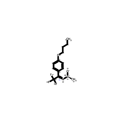 CCCCOc1ccc(/C(=N\[S@+](C)[O-])C(F)(F)F)cc1